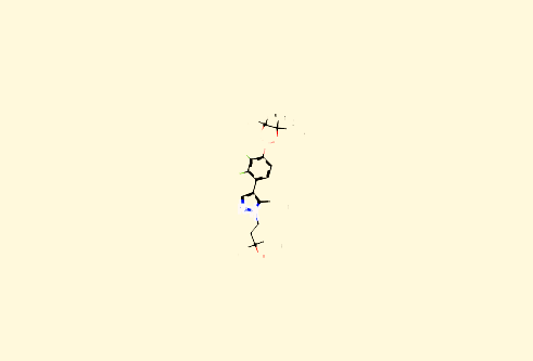 Cc1c(-c2ccc(B3OC(C)(C)C(C)(C)O3)c(F)c2F)cnn1CCC(C)(C)O